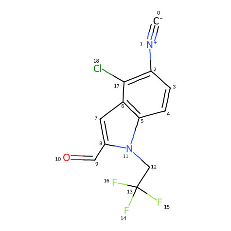 [C-]#[N+]c1ccc2c(cc(C=O)n2CC(F)(F)F)c1Cl